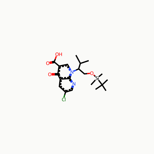 CC(C)C(CO[Si](C)(C)C(C)(C)C)n1cc(C(=O)O)c(=O)c2cc(Cl)cnc21